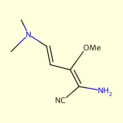 COC(/C=C/N(C)C)=C(\N)C#N